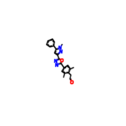 Cc1cc(-c2nnc(-c3cc(-c4ccccc4)n(C)n3)o2)cc(C)c1CC=O